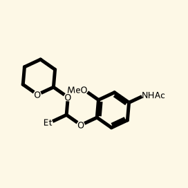 CCC(Oc1ccc(NC(C)=O)cc1OC)OC1CCCCO1